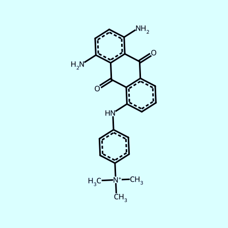 C[N+](C)(C)c1ccc(Nc2cccc3c2C(=O)c2c(N)ccc(N)c2C3=O)cc1